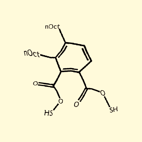 CCCCCCCCc1ccc(C(=O)OS)c(C(=O)OS)c1CCCCCCCC